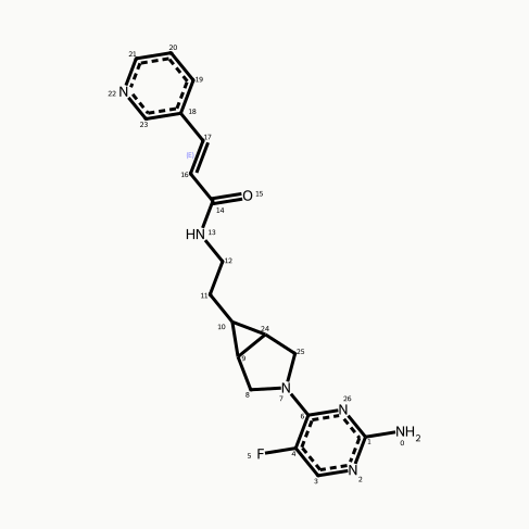 Nc1ncc(F)c(N2CC3C(CCNC(=O)/C=C/c4cccnc4)C3C2)n1